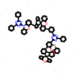 c1ccc(-c2nc(-c3cccc(-c4cccc5c4Oc4ccccc4C54c5ccccc5-c5c(-c6cccc7c6Oc6ccccc6N7c6nc(-c7ccccc7)nc(-c7ccccc7)n6)cccc54)c3)nc(-c3ccc(-c4cccc5c4-c4ccccc4C54c5ccccc5Oc5ccccc54)c4c3Sc3ccccc3O4)n2)cc1